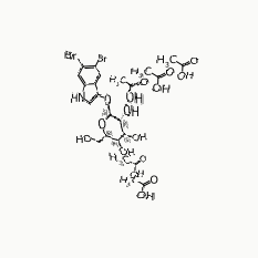 CC(=O)O.CC(=O)O.CC(=O)O.CC(=O)O.CC(=O)O.OC[C@H]1O[C@@H](Oc2c[nH]c3cc(Br)c(Br)cc23)[C@H](O)[C@@H](O)[C@H]1O